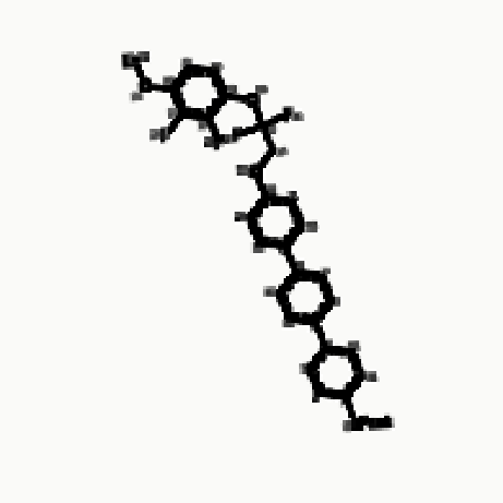 CCCCCc1ccc(-c2ccc(-c3ccc(OCC(F)(F)Oc4ccc(OCC)c(F)c4F)cc3)cc2)cc1